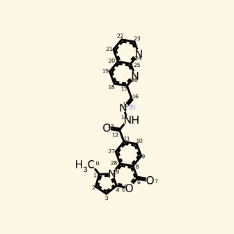 Cc1ccc2oc(=O)c3ccc(C(=O)N/N=C/c4ccc5cccnc5n4)cc3n12